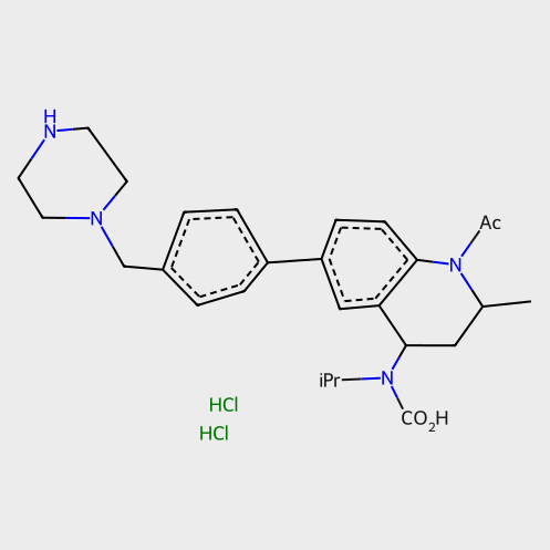 CC(=O)N1c2ccc(-c3ccc(CN4CCNCC4)cc3)cc2C(N(C(=O)O)C(C)C)CC1C.Cl.Cl